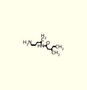 C=CC(=C)CC(=O)NC(=C)C/C=C\N